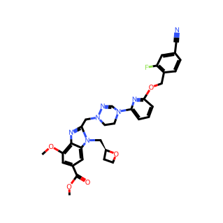 COC(=O)c1cc(OC)c2nc(CN3CCN(c4cccc(OCc5ccc(C#N)cc5F)n4)C=N3)n(C[C@@H]3CCO3)c2c1